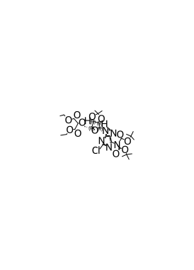 CCOC(=O)C(OC[C@H]1O[C@@H](n2cnc3c(N(C(=O)OC(C)(C)C)C(=O)OC(C)(C)C)nc(Cl)nc32)[C@@H]2OC(C)(C)O[C@@H]21)C(=O)OCC